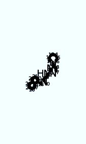 CN(CCNc1nccc(N2CCCCCC2)n1)Cc1cccc2ccccc12